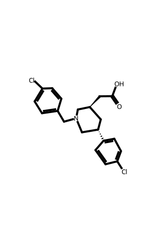 O=C(O)C[C@H]1C[C@H](c2ccc(Cl)cc2)CN(Cc2ccc(Cl)cc2)C1